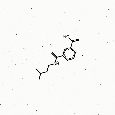 C=C(O)c1cccc(C(=C)NCCC(C)C)c1